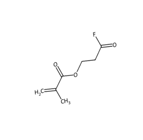 C=C(C)C(=O)OCCC(=O)F